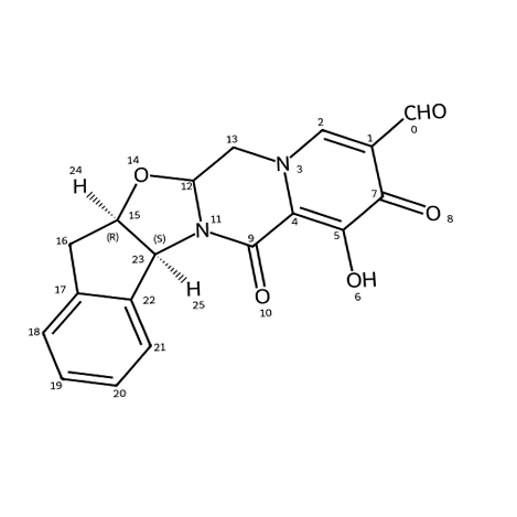 O=Cc1cn2c(c(O)c1=O)C(=O)N1C(C2)O[C@@H]2Cc3ccccc3[C@@H]21